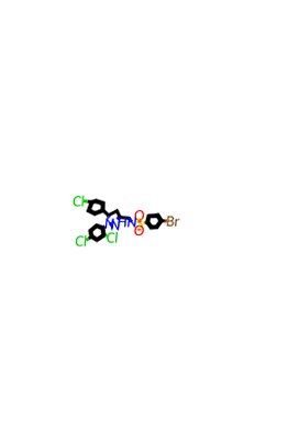 O=S(=O)(NCC1=NN(c2ccc(Cl)cc2Cl)C(c2ccc(Cl)cc2)C1)c1ccc(Br)cc1